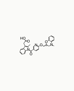 Cc1c(CC(=O)O)c2ccccc2n1C(=O)c1ccc(OC[C@@H]2CN(C)c3ccccc3O2)nc1